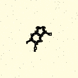 Cc1cc2nnc(Cl)n2nc1Cl